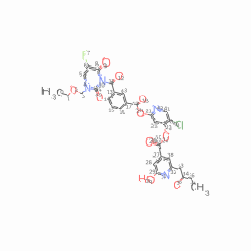 CCOCn1cc(F)c(=O)n(C(=O)c2cccc(C(=O)Oc3cc(OC(=O)c4cc(O)nc(CC(=O)CC)c4)c(Cl)cn3)c2)c1=O